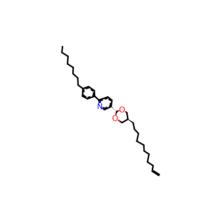 C=CCCCCCCCCC[C@H]1CO[C@H](c2ccc(-c3ccc(CCCCCCCC)cc3)nc2)OC1